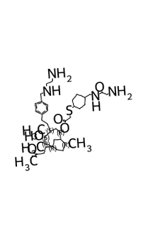 CC(=O)CC[C@]12CC[C@@H](C)C(C1)[C@H](OC(=O)CSC1CCC(CNC(=O)CN)CC1)C[C@](C)(CCc1ccc(CNCCN)cc1)[C@@H](O)[C@@H]2C